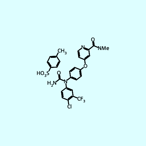 CNC(=O)c1cc(Oc2ccc(N(C(N)=O)c3ccc(Cl)c(C(F)(F)F)c3)cc2)ccn1.Cc1ccc(S(=O)(=O)O)cc1